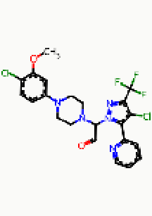 COc1cc(N2CCN(C(C=O)n3nc(C(F)(F)F)c(Cl)c3-c3ccccn3)CC2)ccc1Cl